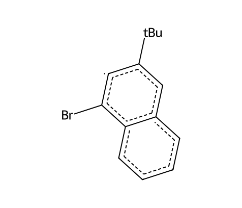 CC(C)(C)c1[c]c(Br)c2ccccc2c1